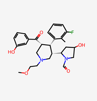 COCCN1C[C@H](C(=O)c2cccc(O)c2)[C@H](c2cccc(F)c2C)[C@H](C2CC(O)CN2C=O)C1